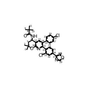 CC1(C)CC(NC(=O)C(C)(C)C)c2cc(-c3ccc(Cl)cc3)c(-c3ccc(-c4ncon4)cc3Cl)nc2O1